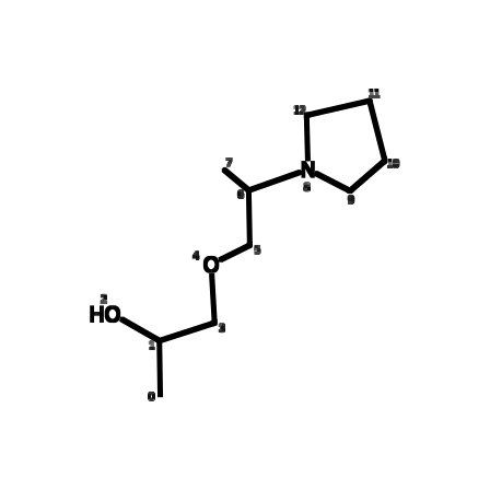 CC(O)COCC(C)N1CCCC1